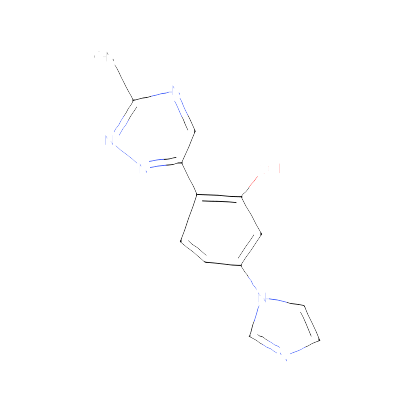 O=Nc1ncc(-c2ccc(-n3ccnc3)cc2O)nn1